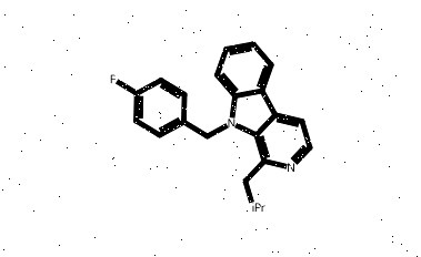 CC(C)Cc1nccc2c3ccccc3n(Cc3ccc(F)cc3)c12